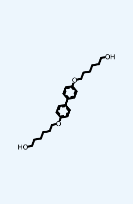 OCCCCCCOc1ccc(-c2ccc(OCCCCCCO)cc2)cc1